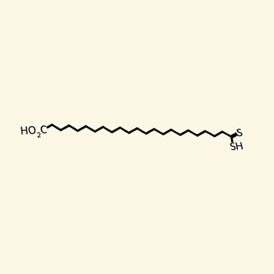 O=C(O)CCCCCCCCCCCCCCCCCCCCCC(=S)S